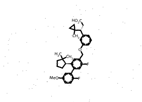 COc1ccc(F)c(-c2cc(F)c(COc3cccc([C@@H](CC(=O)O)C4(C)CC4)c3)cc2[C@H]2CCCC2(C)C)c1